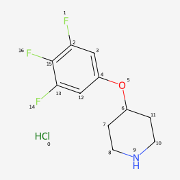 Cl.Fc1cc(OC2CCNCC2)cc(F)c1F